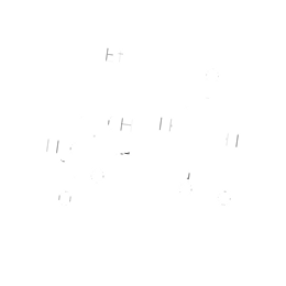 CCC#CCC(C)(C)[C@@H](C#C[C@@H]1[C@H]2CC(=O)C[C@H]2C[C@H]1OC1CCCCO1)OC1CCCCO1